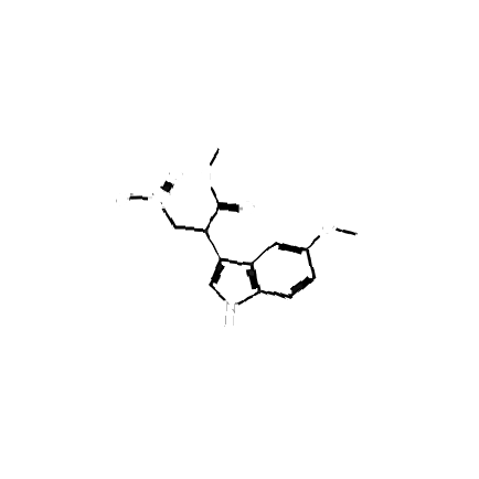 COC(=O)C(C[N+](=O)[O-])c1c[nH]c2ccc(OC)cc12